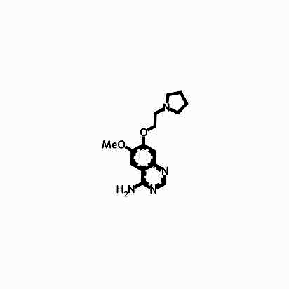 COc1cc2c(N)ncnc2cc1OCCN1CCCC1